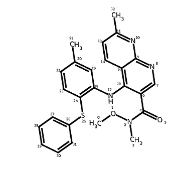 CON(C)C(=O)c1cnc2nc(C)ccc2c1Nc1cc(C)ccc1Sc1ccccc1